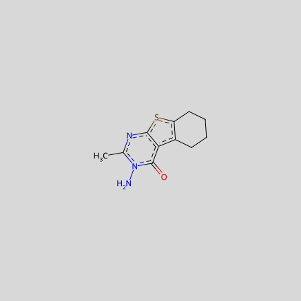 Cc1nc2sc3c(c2c(=O)n1N)CCCC3